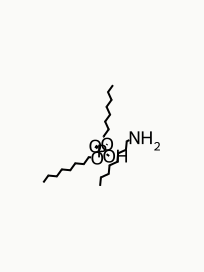 CCCCCCCCN.CCCCCCCCOP(=O)(O)OCCCCCCCC